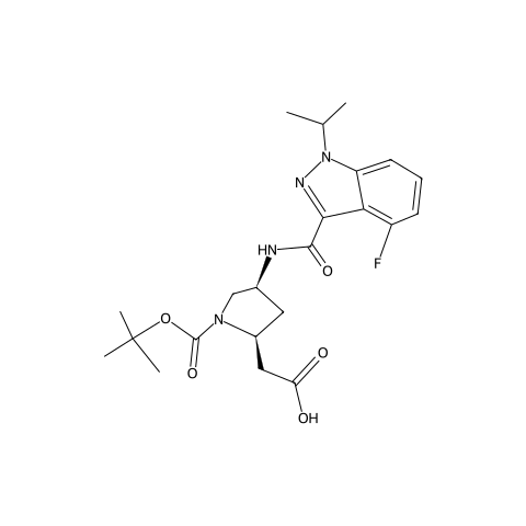 CC(C)n1nc(C(=O)N[C@H]2C[C@@H](CC(=O)O)N(C(=O)OC(C)(C)C)C2)c2c(F)cccc21